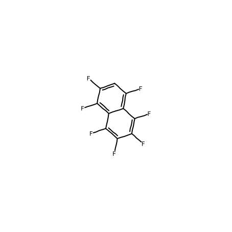 Fc1cc(F)c2c(F)c(F)c(F)c(F)c2c1F